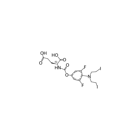 O=C(O)CC[C@H](NC(=O)Oc1cc(F)c(N(CCI)CCI)c(F)c1)C(=O)O